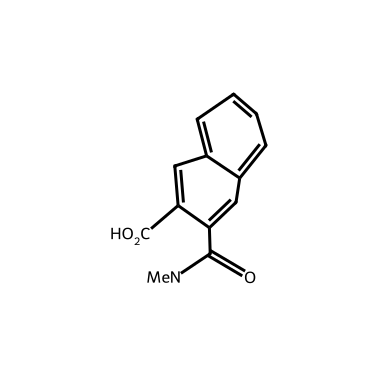 CNC(=O)c1cc2ccccc2cc1C(=O)O